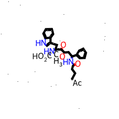 CC(=O)CCCC(=O)NC(CC(=O)C(=O)C(C)(Cc1c[nH]c2ccccc12)NC(=O)O)c1ccccc1